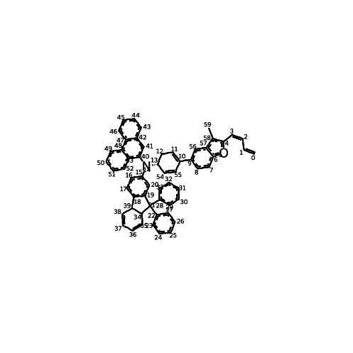 C=C/C=C\c1oc2ccc(C3=CC[C@@H](N(c4ccc5c(c4)C(c4ccccc4)(c4ccccc4)C4C=CC=CC54)c4cc5ccccc5c5ccccc45)C=C3)cc2c1C